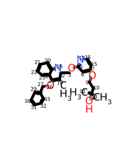 Cc1c(COc2cc(OCCC(C)(C)O)ccn2)nc2ccccc2c1OCc1ccccc1